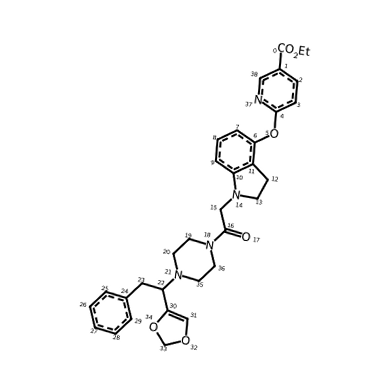 CCOC(=O)c1ccc(Oc2cccc3c2CCN3CC(=O)N2CCN(C(Cc3ccccc3)C3=COCO3)CC2)nc1